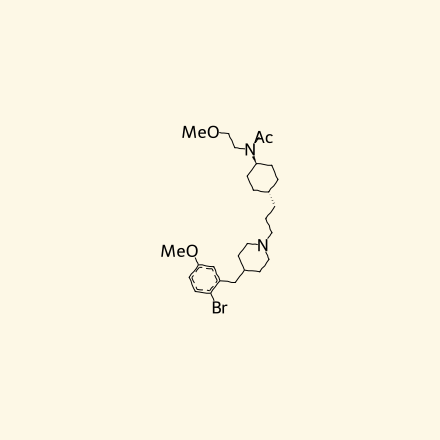 COCCN(C(C)=O)[C@H]1CC[C@H](CCCN2CCC(Cc3cc(OC)ccc3Br)CC2)CC1